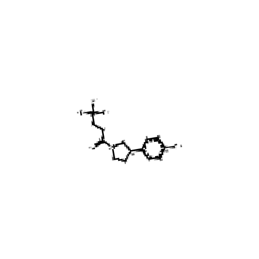 O=C(CCC(F)(F)F)N1CCC(c2ccc(F)cc2)C1